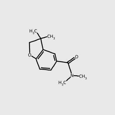 CN(C)C(=O)c1ccc2c(c1)C(C)(C)CO2